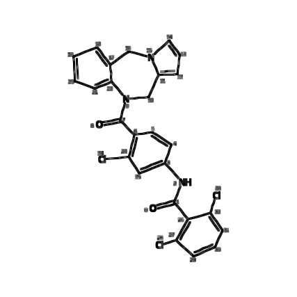 O=C(Nc1ccc(C(=O)N2Cc3cccn3Cc3ccccc32)c(Cl)c1)c1c(Cl)cccc1Cl